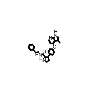 Cc1c[nH]c2nccc(Oc3ccc(C4CCNC4C(=O)NCCc4ccccc4)cc3)c12